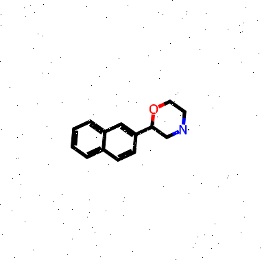 c1ccc2cc(C3C[N]CCO3)ccc2c1